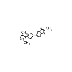 Cc1ccc(C)n1-c1ccc(-c2ccc3nn(C)nc3c2)cc1